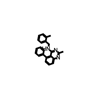 Cc1nc(NCc2ccccc2C)c2c(-c3ccccc3)cccc2n1